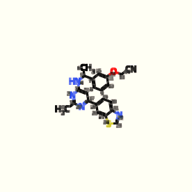 Cc1nc(NC(C)c2cccc(OCC#N)c2)cc(-c2ccc3ncsc3c2)n1